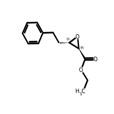 CCOC(=O)[C@@H]1O[C@H]1CCc1ccccc1